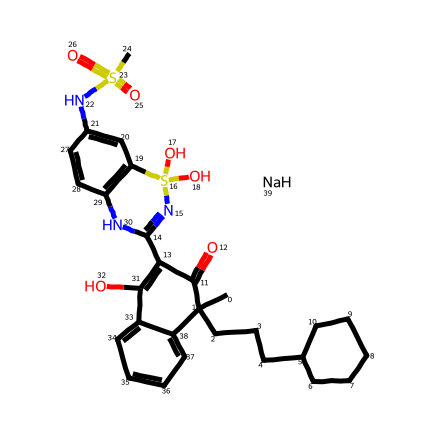 CC1(CCCC2CCCCC2)C(=O)C(C2=NS(O)(O)c3cc(NS(C)(=O)=O)ccc3N2)=C(O)c2ccccc21.[NaH]